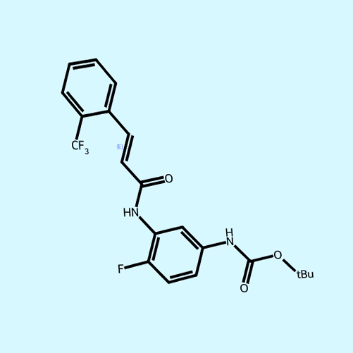 CC(C)(C)OC(=O)Nc1ccc(F)c(NC(=O)/C=C/c2ccccc2C(F)(F)F)c1